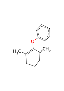 C=C1CCCC(C)=C1Oc1ccccc1